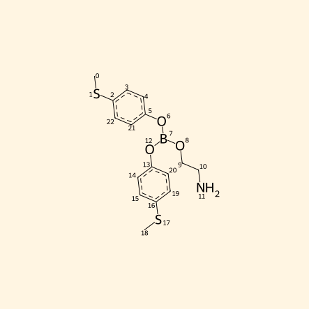 CSc1ccc(OB(OCCN)Oc2ccc(SC)cc2)cc1